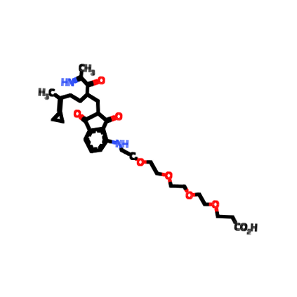 CC(=N)C(=O)C(CCC(C)=C1CC1)CC1C(=O)c2cccc(NCCOCCOCCOCCOCCC(=O)O)c2C1=O